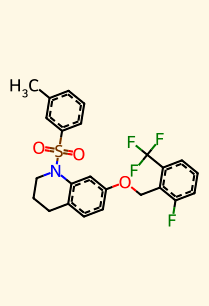 Cc1cccc(S(=O)(=O)N2CCCc3ccc(OCc4c(F)cccc4C(F)(F)F)cc32)c1